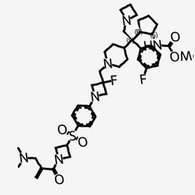 C=C(CN(C)C)C(=O)N1CC(S(=O)(=O)c2ccc(N3CC(F)(CN4CCC([C@@](CN5CCC5)(c5cccc(F)c5)[C@H]5CCC[C@@H]5NC(=O)OC)CC4)C3)cc2)C1